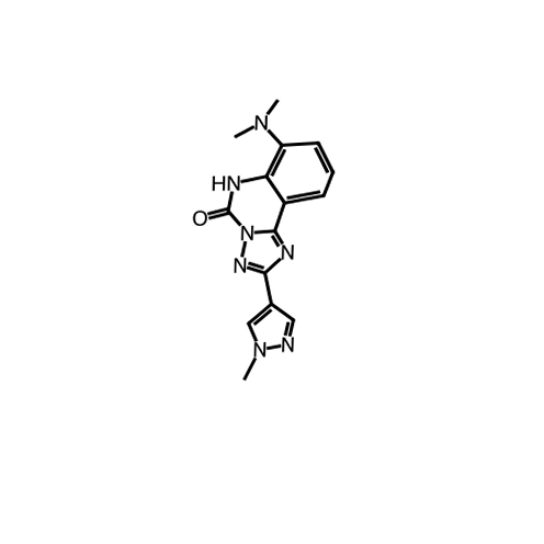 CN(C)c1cccc2c1[nH]c(=O)n1nc(-c3cnn(C)c3)nc21